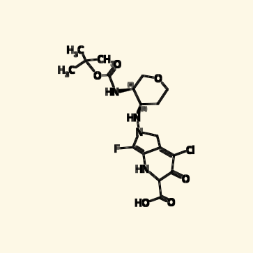 CC(C)(C)OC(=O)N[C@H]1COCC[C@H]1NN1CC2=C(Cl)C(=O)C(C(=O)O)NC2=C1F